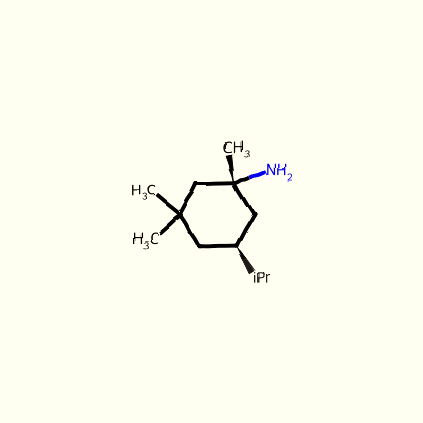 CC(C)[C@H]1CC(C)(C)C[C@](C)(N)C1